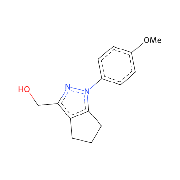 COc1ccc(-n2nc(CO)c3c2CCC3)cc1